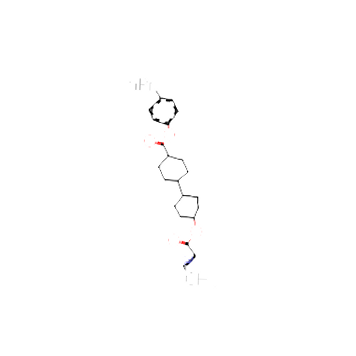 C/C=C/C(=O)OC1CCC(C2CCC(C(=O)Oc3ccc(CCC)cc3)CC2)CC1